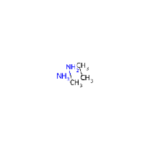 CC.CN.N